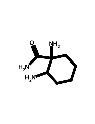 NC(=O)C1(N)CCCCC1N